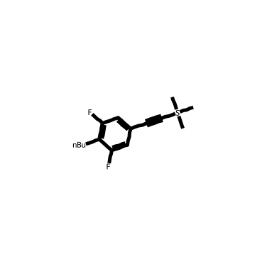 CCCCc1c(F)cc(C#CS(C)(C)C)cc1F